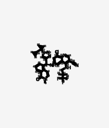 Cn1ccc2c([C@H](Nc3cc(Cl)c4ncc(C#N)c(NCC(C)(C)C(F)(F)F)c4c3)c3cn(C4(C5CC5)CC4)nn3)cccc2c1=O